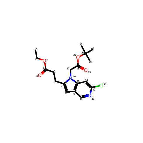 CCOC(=O)CCc1cc2cnc(Cl)cc2n1CC(=O)OC(C)(C)C